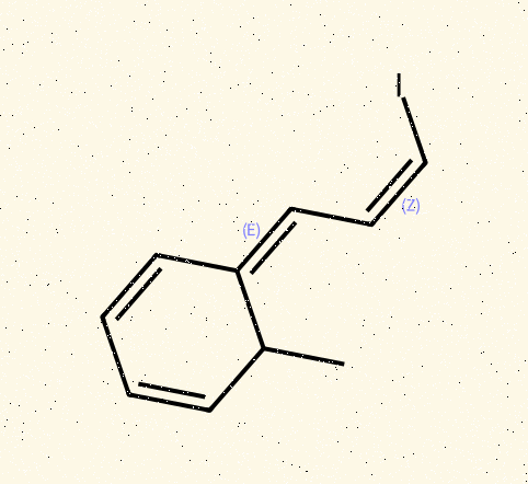 CC1C=CC=C/C1=C/C=C\I